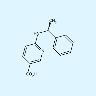 C[C@H](Nc1ccc(C(=O)O)cn1)c1ccccc1